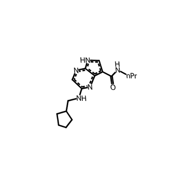 CCCNC(=O)c1c[nH]c2ncc(NCC3CCCC3)nc12